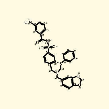 O=C(NS(=O)(=O)c1ccc(CN(CSc2ccccc2)Cc2ccc3c(c2)OCO3)cc1)c1cccc([N+](=O)[O-])c1